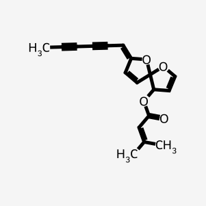 CC#CC#C/C=C1\C=CC2(OC=CC2OC(=O)C=C(C)C)O1